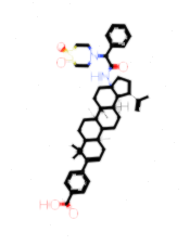 C=C(C)[C@@H]1CC[C@]2(NC(=O)C(c3ccccc3)N3CCS(=O)(=O)CC3)CC[C@]3(C)[C@H](CCC4[C@@]5(C)CC=C(c6ccc(C(=O)O)cc6)C(C)(C)C5CC[C@]43C)C12